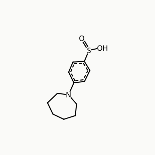 O=S(O)c1ccc(N2CCCCCC2)cc1